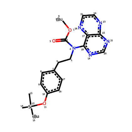 CC(C)(C)OC(=O)N(CCc1ccc(O[Si](C)(C)C(C)(C)C)cc1)c1ncnc2nccnc12